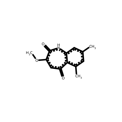 COc1cc(=O)c2c(C)cc(C)cc2[nH]c1=O